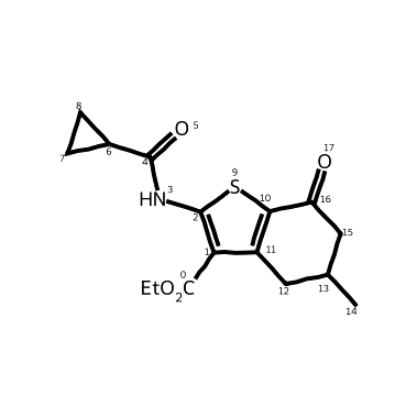 CCOC(=O)c1c(NC(=O)C2CC2)sc2c1CC(C)CC2=O